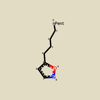 CCCCCCCCCc1ccno1